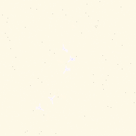 COc1cc(F)ccc1-c1ccnc(NC(=O)Nc2cccc(C(=O)N3CCNC(=O)C3)c2)c1